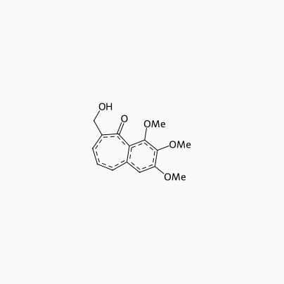 COc1cc2cccc(CO)c(=O)c2c(OC)c1OC